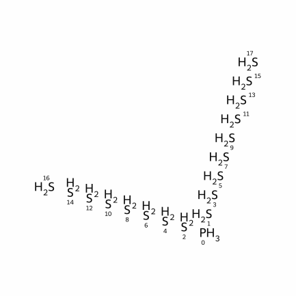 P.S.S.S.S.S.S.S.S.S.S.S.S.S.S.S.S.S